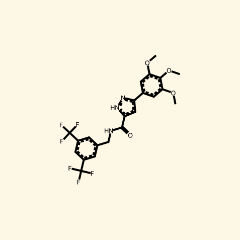 COc1cc(-c2cc(C(=O)NCc3cc(C(F)(F)F)cc(C(F)(F)F)c3)[nH]n2)cc(OC)c1OC